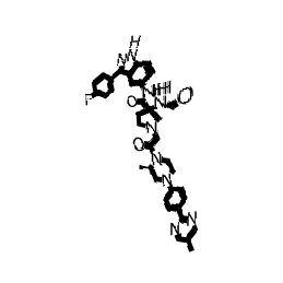 Cc1cnc(-c2ccc(N3CCN(C(=O)CN4CCC(NC=O)(C(=O)Nc5ccc6[nH]nc(-c7ccc(F)cc7)c6c5)C4)[C@H](C)C3)cc2)nc1